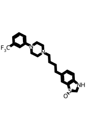 [O-][S+]1CNc2ccc(CCCCN3CCN(c4cccc(C(F)(F)F)c4)CC3)cc21